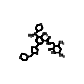 Cc1c(C(=O)NCC2C(=O)NC(C)CC2C)cc(-c2ccc(CN3CCOCC3)nc2)cc1N(C)C1CCOCC1